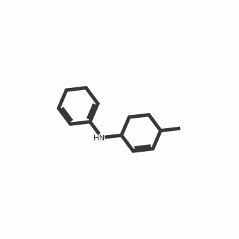 CC1C=CC(NC2=CCCC=C2)CC1